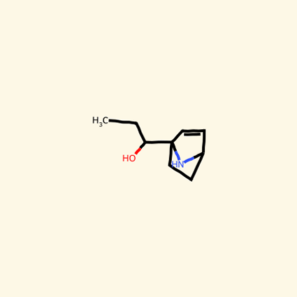 CCC(O)C12C=CC(CC1)N2